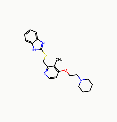 Cc1c(OCCN2CCCCC2)ccnc1CSc1nc2ccccc2[nH]1